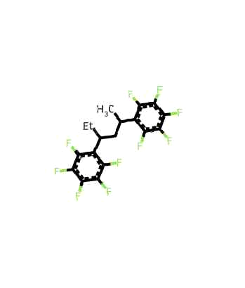 CCC(CC(C)c1c(F)c(F)c(F)c(F)c1F)c1c(F)c(F)c(F)c(F)c1F